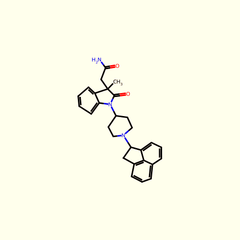 CC1(CC(N)=O)C(=O)N(C2CCN(C3Cc4cccc5cccc3c45)CC2)c2ccccc21